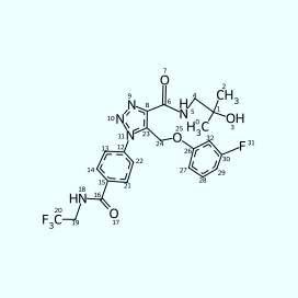 CC(C)(O)CNC(=O)c1nnn(-c2ccc(C(=O)NCC(F)(F)F)cc2)c1COc1cccc(F)c1